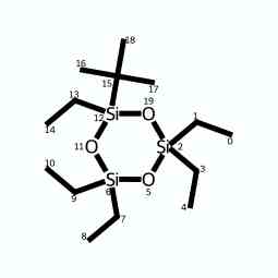 CC[Si]1(CC)O[Si](CC)(CC)O[Si](CC)(C(C)(C)C)O1